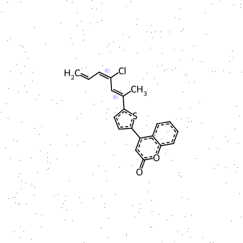 C=C/C=C(Cl)\C=C(/C)c1ccc(-c2cc(=O)oc3ccccc23)s1